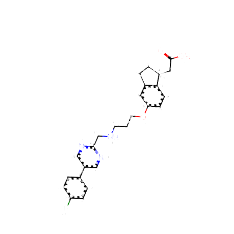 O=C(O)C[C@@H]1CCc2cc(OCCCNCc3ncc(-c4ccc(F)cc4)cn3)ccc21